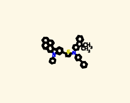 CC1(C)c2ccccc2-c2ccc(N(c3ccc(-c4ccccc4)cc3)c3ccc(-c4ccc5c6c7ccc8cccc9ccc(cc6n(-c6ccccc6)c5c4)c7c98)s3)cc21